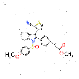 COC(=O)CCc1ccc(-c2c(-c3ccsc3C#N)c3ccccc3n2[S+]([O-])c2ccc(OC)cc2)cc1